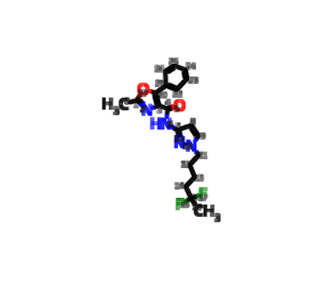 Cc1nc(C(=O)Nc2ccn(CCCCC(C)(F)F)n2)c(-c2ccccc2)o1